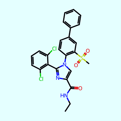 CCNC(=O)c1cn(-c2ccc(-c3ccccc3)cc2S(C)(=O)=O)c(-c2c(Cl)cccc2Cl)n1